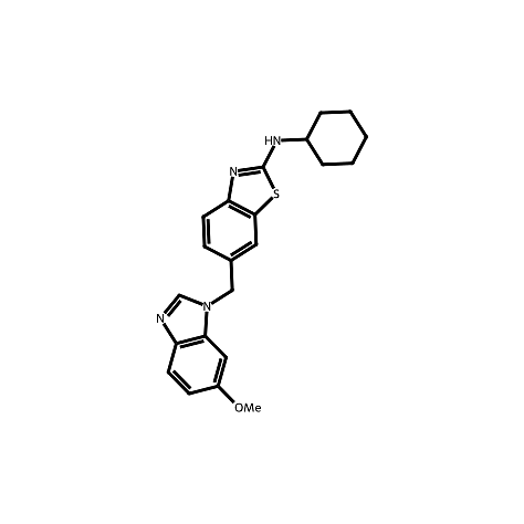 COc1ccc2ncn(Cc3ccc4nc(NC5CCCCC5)sc4c3)c2c1